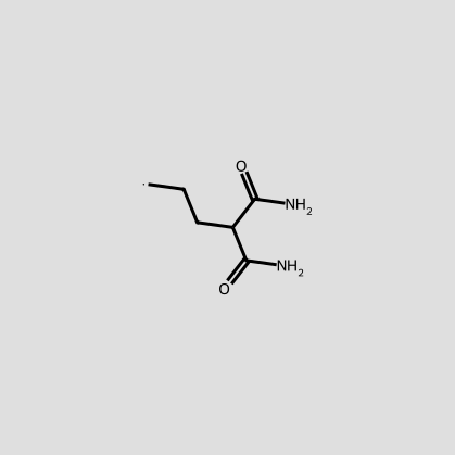 [CH2]CCC(C(N)=O)C(N)=O